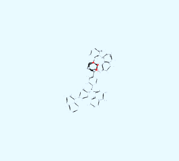 c1ccc2c(-c3ccc(N(c4ccc(-c5ccc(-c6cccc7oc8ccc9ccc%10oc%11ccccc%11c%10c9c8c67)cc5)cc4)c4cccc5ccccc45)cc3)cccc2c1